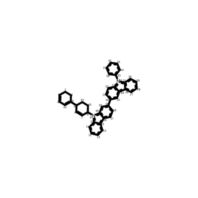 C1=CCCC(C2C=CC(n3c4ccccc4c4ccc(-c5ccc6c(c5)c5ccccc5n6-c5ccccc5)cc43)CC2)=C1